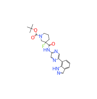 CC(C)(C)OC(=O)N1CCC[C@](F)(C(=O)Nc2cnc(-c3cccc4cn[nH]c34)cn2)C1